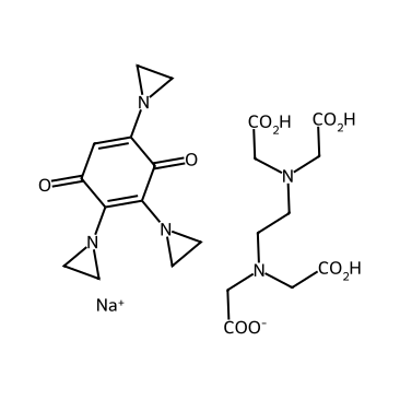 O=C([O-])CN(CCN(CC(=O)O)CC(=O)O)CC(=O)O.O=C1C=C(N2CC2)C(=O)C(N2CC2)=C1N1CC1.[Na+]